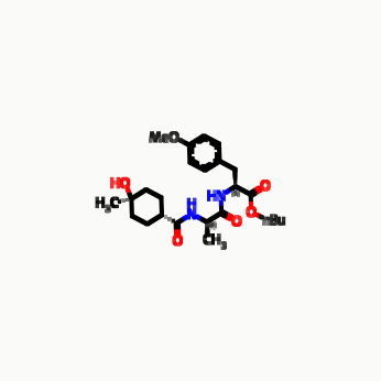 CCCCOC(=O)[C@H](Cc1ccc(OC)cc1)NC(=O)[C@@H](C)NC(=O)[C@H]1CC[C@](C)(O)CC1